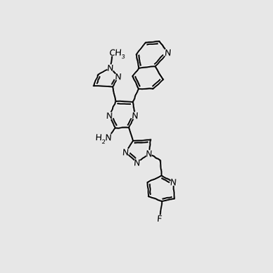 Cn1ccc(-c2nc(N)c(-c3cn(Cc4ccc(F)cn4)nn3)nc2-c2ccc3ncccc3c2)n1